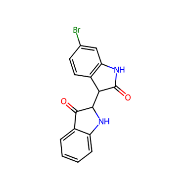 O=C1c2ccccc2NC1C1C(=O)Nc2cc(Br)ccc21